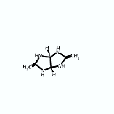 C=C1N[C@H]2NC(=C)N[C@H]2N1